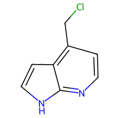 ClCc1ccnc2[nH]ccc12